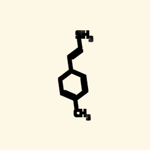 CC1=CCC(C=C[SiH3])C=C1